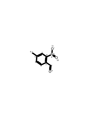 O=Cc1ccc(I)cc1[N+](=O)[O-]